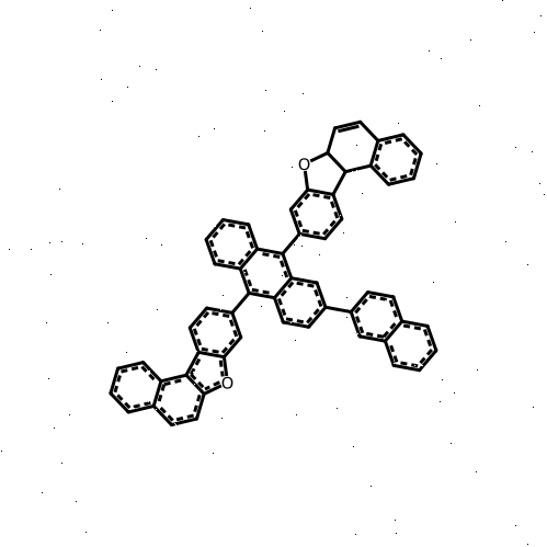 C1=CC2Oc3cc(-c4c5ccccc5c(-c5ccc6c(c5)oc5ccc7ccccc7c56)c5ccc(-c6ccc7ccccc7c6)cc45)ccc3C2c2ccccc21